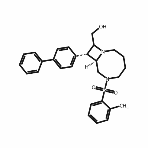 Cc1ccccc1S(=O)(=O)N1CCCCN2C(CO)[C@@H](c3ccc(-c4ccccc4)cc3)[C@@H]2C1